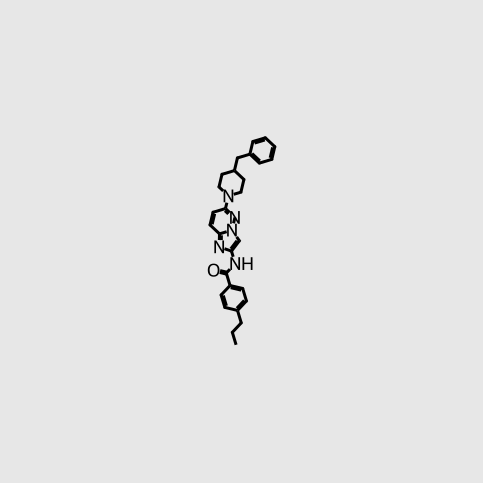 CCCc1ccc(C(=O)Nc2cn3nc(N4CCC(Cc5ccccc5)CC4)ccc3n2)cc1